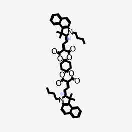 CCCCN1/C(=C/C=C2C(=O)OC3(CCC4(CC3)OC(=O)C(=C/C=C3/N(CCCC)c5ccc6ccccc6c5C3(C)C)C(=O)O4)OC2=O)C(C)(C)c2c1ccc1ccccc21